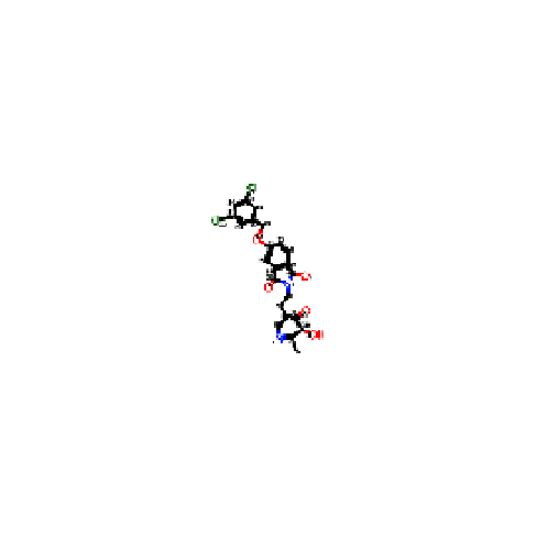 CC1=NC=C(CCN2C(=O)c3ccc(OCc4cc(Cl)cc(Cl)c4)cc3C2=O)C(=O)C1O